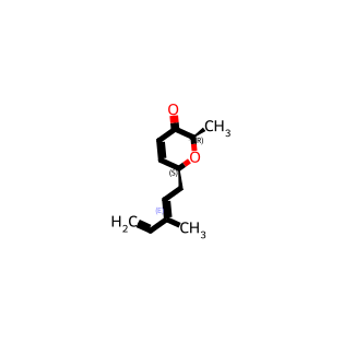 C=C/C(C)=C/C[C@H]1C=CC(=O)[C@@H](C)O1